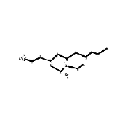 CCCCCCCCC[CH2][Mg+].CCOCC.[Br-]